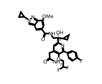 COc1cc(C(=O)NC[C@](O)(c2cc(CC(N)=O)c(OCC(F)F)c(-c3ccc(F)cc3)n2)C2CC2)cc2cn(C3CC3)nc12